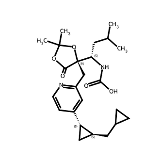 CC(C)C[C@H](NC(=O)O)[C@@]1(Cc2cc([C@H]3C[C@@H]3CC3CC3)ccn2)OC(C)(C)OC1=O